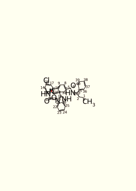 CCC[C@@H](NC(=O)C1=CC=C(c2cccc(Cl)c2)C(c2nc3ccccc3[nH]2)(c2n[nH]c(=O)o2)C1)c1ccccc1